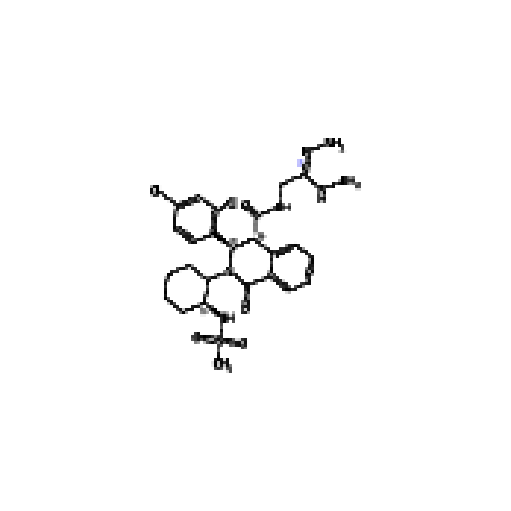 CS(=O)(=O)N[C@H]1CCCCC1N1C(=O)c2ccccc2[C@@H](C(=O)NC/C(=N/N)NN)[C@@H]1c1ccc(Cl)cc1Cl